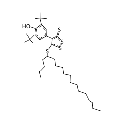 CCCCCCCCCCCCCC(CCCC)Sc1ssc(=S)c1-c1cc(C(C)(C)C)c(O)c(C(C)(C)C)c1